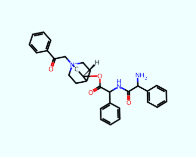 NC(C(=O)NC(C(=O)O[C@H]1C[N+]2(CC(=O)c3ccccc3)CCC1CC2)c1ccccc1)c1ccccc1